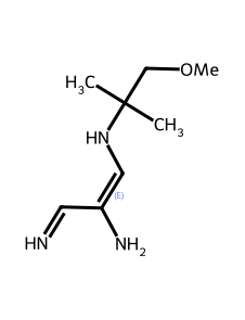 COCC(C)(C)N/C=C(/N)C=N